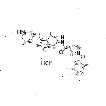 Cl.O=C(Nc1ccc2c(CC3CNCCO3)coc2c1)c1cnn(Cc2ccccc2)c1